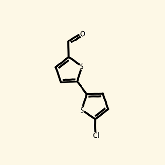 O=Cc1ccc(-c2ccc(Cl)s2)s1